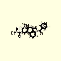 CCN(CC)C(=O)[C@@H]1C=C2c3cccc4c3c(cn4C(=O)C34CCN(CC3)CC4)C[C@H]2N(C)C1